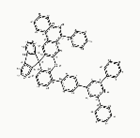 c1ccc(-c2cc(-c3ccc(-c4cccc5c4Oc4cc6c(-c7ccccc7)nc7ccccc7c6cc4C54c5ccccc5-c5ccccc54)cc3)nc(-c3ccccc3)n2)cc1